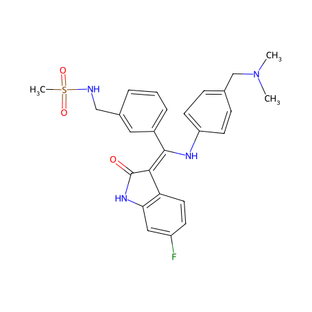 CN(C)Cc1ccc(NC(=C2C(=O)Nc3cc(F)ccc32)c2cccc(CNS(C)(=O)=O)c2)cc1